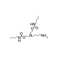 CCCCNC(=O)OCCN(CCCCN)CCOC(=O)NCCCC